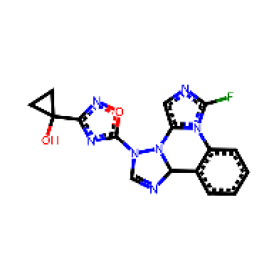 OC1(c2noc(N3C=NC4c5ccccc5-n5c(cnc5F)N43)n2)CC1